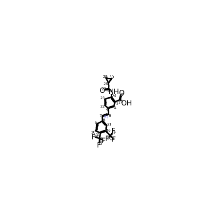 O=C(O)c1cc(/C=C/c2ccc(C(F)(F)F)c(C(F)(F)F)c2)ccc1NC(=O)C1CC1